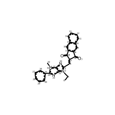 CCn1c(C=C2C(=O)c3cc4ccccc4cc3C2=O)nc2c1nc(-c1ccccc1)n2C